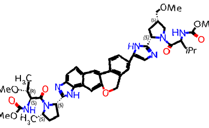 COC[C@H]1C[C@@H](c2ncc(-c3ccc4c(c3)COc3cc5c(ccc6nc([C@@H]7CC[C@H](C)N7C(=O)[C@@H](NC(=O)OC)[C@@H](C)OC)[nH]c65)cc3-4)[nH]2)N(C(=O)C(NC(=O)OC)C(C)C)C1